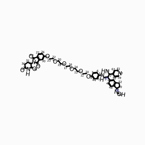 N=C(/C(=C\Nc1ccc(OCCOCCOCCOCCOCCOc2ccc3c(c2)C(=O)N(C2CCC(=O)NC2=O)C3=O)cc1)c1ccc2c(c1)CC/C2=N\O)c1ccncc1